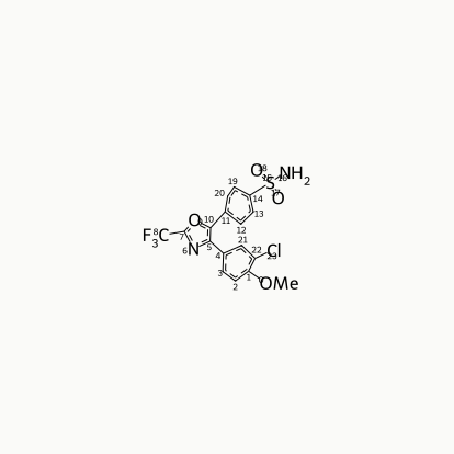 COc1ccc(-c2nc(C(F)(F)F)oc2-c2ccc(S(N)(=O)=O)cc2)cc1Cl